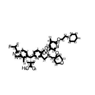 Cc1ccc([C@@H](c2ccn3c(C(F)F)nnc3c2C)C(C)(C)C(=O)O)nc1CN1CC2(CCOCC2)Oc2nc(OCCN3CCCCC3)c(C)cc2S1(=O)=O